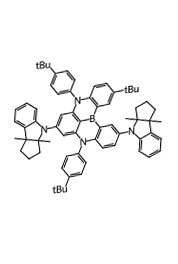 CC(C)(C)c1ccc(N2c3ccc(N4c5ccccc5C5(C)CCCC45C)cc3B3c4cc(C(C)(C)C)ccc4N(c4ccc(C(C)(C)C)cc4)c4cc(N5c6ccccc6C6(C)CCCC56C)cc2c43)cc1